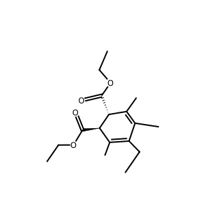 CCOC(=O)[C@@H]1C(C)=C(C)C(CC)=C(C)[C@H]1C(=O)OCC